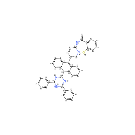 C=C1N=C2C=CC(c3c4ccccc4c(C4=NC(c5ccccc5)NC(c5ccccc5)=N4)c4ccccc34)=CN2Sc2ccccc21